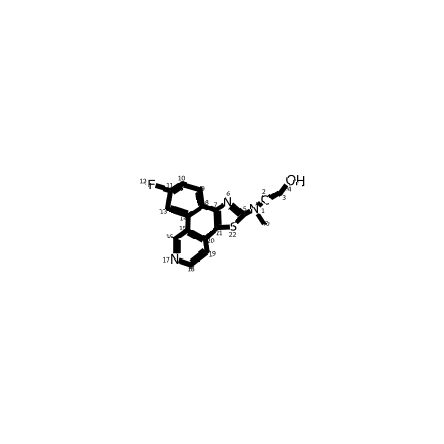 CN(CCO)c1nc2c3ccc(F)cc3c3cnccc3c2s1